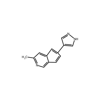 Cc1cc2cc(-c3cn[nH]c3)ccc2cn1